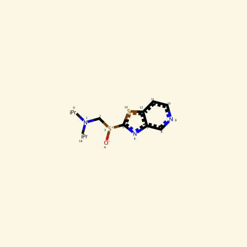 CC(C)N(C[S+]([O-])c1nc2cnccc2s1)C(C)C